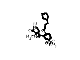 Cn1cc(-c2cc(S(C)(=O)=O)ccc2OCCCC2CCCC2)c2cc[nH]c(=O)c21